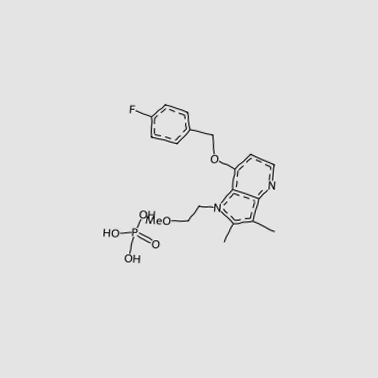 COCCn1c(C)c(C)c2nccc(OCc3ccc(F)cc3)c21.O=P(O)(O)O